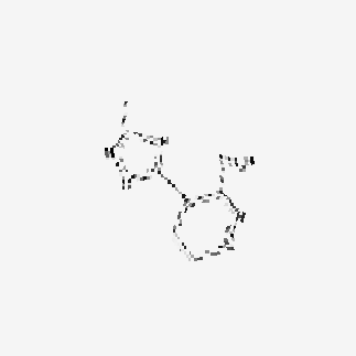 Cc1noc(-c2cccnc2C(=O)O)n1